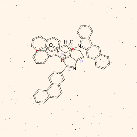 CC1C/C=C(c2cc3c(cc2-n2c4ccccc4c4cc5ccccc5cc42)oc2ccccc23)/N=C(c2ccc3c(ccc4ccccc43)c2)\N=C/1c1ccc2ccccc2c1